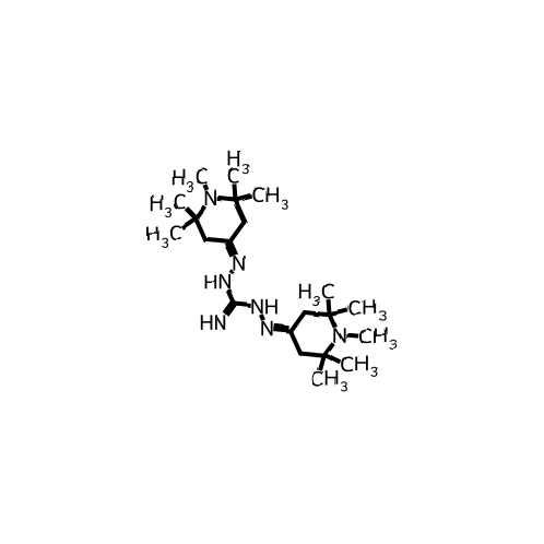 CN1C(C)(C)CC(=NNC(=N)NN=C2CC(C)(C)N(C)C(C)(C)C2)CC1(C)C